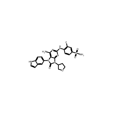 Nc1nc(Nc2ccc(S(N)(=O)=O)cc2F)nc2c1n(-c1ccc3[nH]ccc3c1)c(=O)n2C1CCOC1